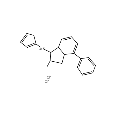 CC1CC2C(c3ccccc3)=CC=CC2[CH]1[Zr+2][C]1=CC=CC1.[Cl-].[Cl-]